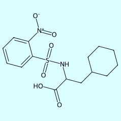 O=C(O)C(CC1CCCCC1)NS(=O)(=O)c1ccccc1[N+](=O)[O-]